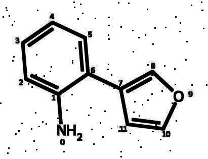 Nc1ccccc1-c1[c]occ1